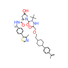 C=C(C)c1ccc(C2CCC(CCOCC(=O)NC(C(=O)N3C[C@H](O)C[C@H]3C(=O)N[C@@H](C)c3ccc(-c4scnc4C)cc3)C(C)(C)C)CC2)cc1